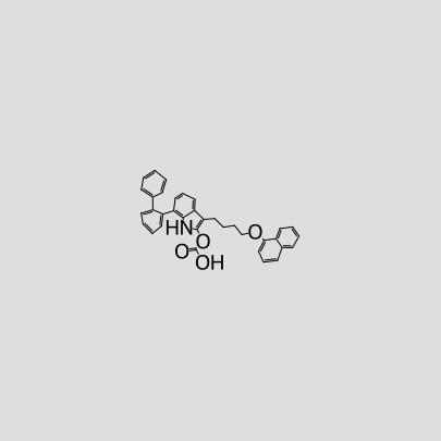 O=C(O)Oc1[nH]c2c(-c3ccccc3-c3ccccc3)cccc2c1CCCCOc1cccc2ccccc12